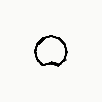 [CH]1/C=C/CCC/C=C\CCCC1